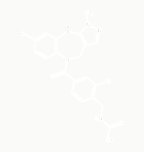 Cn1ncc2c1Nc1cc(Cl)ccc1N(C(=O)c1ccc(CNC(=O)C(C)(C)C)c(Cl)c1)C2